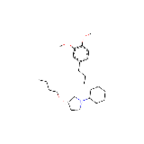 CCCCO[C@H]1CCN(C2CCCC[C@H]2CCCc2ccc(OC)c(OC)c2)C1